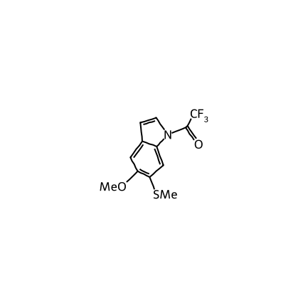 COc1cc2ccn(C(=O)C(F)(F)F)c2cc1SC